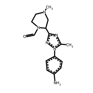 Cc1nc(C2CN(C)CCN2C=O)nn1-c1ccc(N)cc1